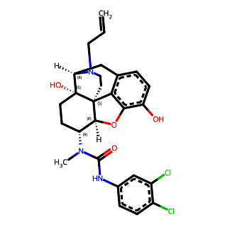 C=CCN1CC[C@]23c4c5ccc(O)c4O[C@H]2[C@H](N(C)C(=O)Nc2ccc(Cl)c(Cl)c2)CC[C@@]3(O)[C@H]1C5